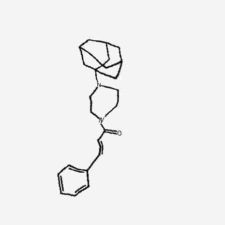 O=C(/C=C/c1ccccc1)N1CCN(C23CC4CC(CC(C4)C2)C3)CC1